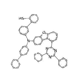 Sc1ccccc1-c1cccc(N(c2ccc(-c3ccccc3)cc2)c2ccc3c(c2)oc2cccc(-c4nc(-c5ccccc5)nc(-c5ccccc5)n4)c23)c1